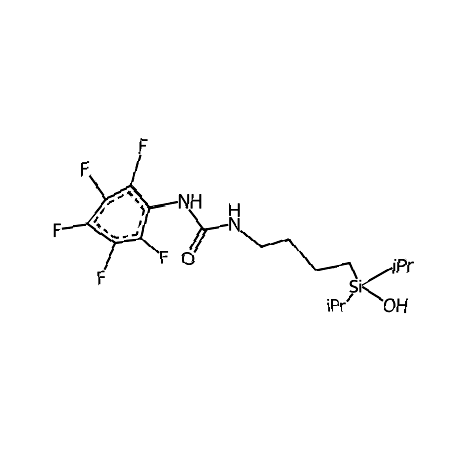 CC(C)[Si](O)(CCCCNC(=O)Nc1c(F)c(F)c(F)c(F)c1F)C(C)C